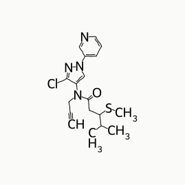 C#CCN(C(=O)CC(SC)C(C)C)c1cn(-c2cccnc2)nc1Cl